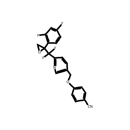 N#Cc1ccc(OCc2ccc(C(F)(F)C3(c4ccc(F)cc4F)CO3)nc2)cc1